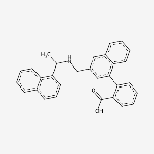 CC(NCc1cc(-c2ccccc2C(=O)O)c2ccccc2c1)c1cccc2ccccc12